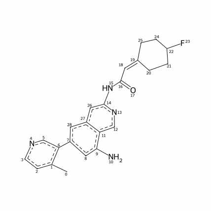 Cc1ccncc1-c1cc(N)c2cnc(NC(=O)C=C3CCC(F)CC3)cc2c1